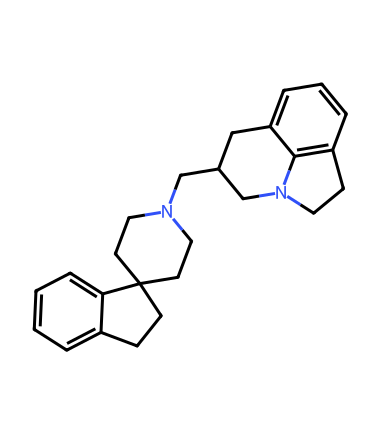 c1ccc2c(c1)CCC21CCN(CC2Cc3cccc4c3N(CC4)C2)CC1